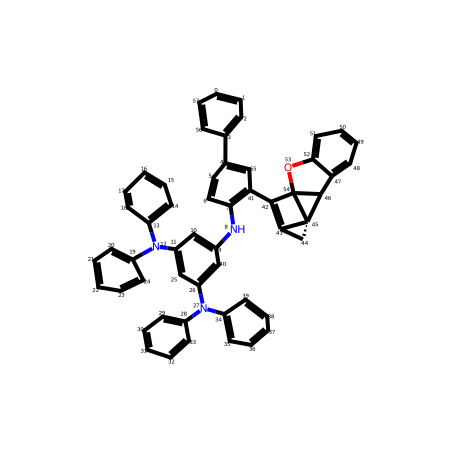 c1ccc(-c2ccc(Nc3cc(N(c4ccccc4)c4ccccc4)cc(N(c4ccccc4)c4ccccc4)c3)c(C3=C4C[C@]45C4c6ccccc6OC345)c2)cc1